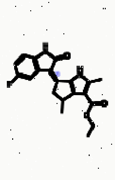 CCOC(=O)c1c(C)[nH]c2c1C(C)C/C2=C1/C(=O)Nc2ccc(F)cc21